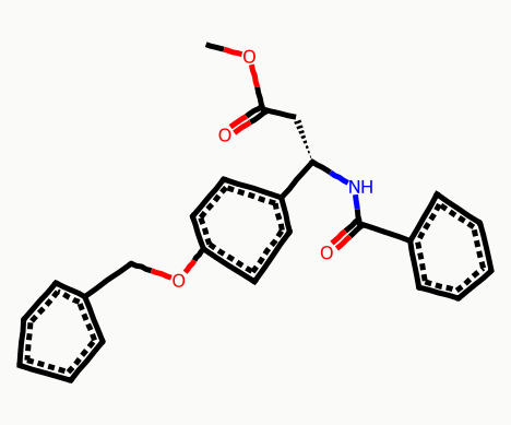 COC(=O)C[C@H](NC(=O)c1ccccc1)c1ccc(OCc2ccccc2)cc1